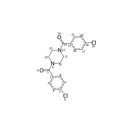 O=C(c1ccc(Cl)cc1)N1CCN(C(=O)c2ccc(Cl)cc2)CC1